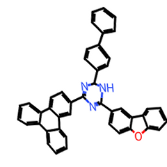 c1ccc(-c2ccc(C3N=C(c4ccc5c6ccccc6c6ccccc6c5c4)N=C(c4ccc5oc6ccccc6c5c4)N3)cc2)cc1